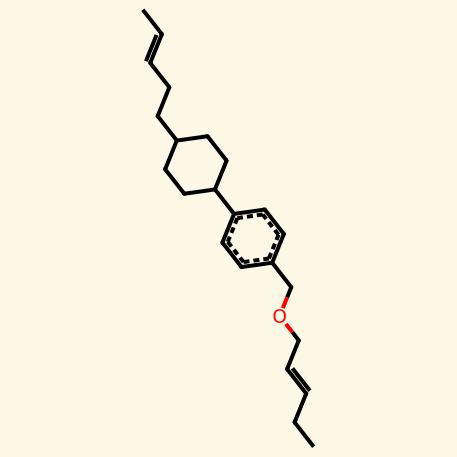 CC=CCCC1CCC(c2ccc(COCC=CCC)cc2)CC1